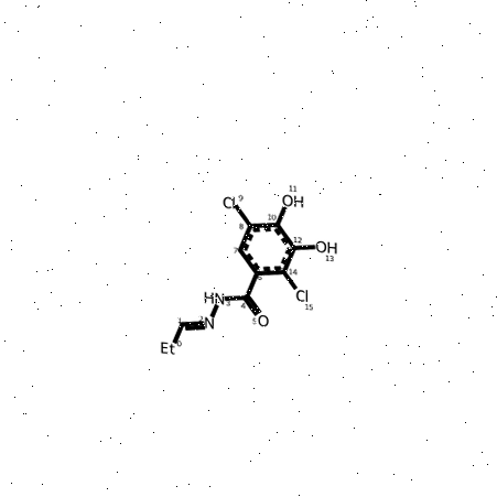 CC/C=N/NC(=O)c1cc(Cl)c(O)c(O)c1Cl